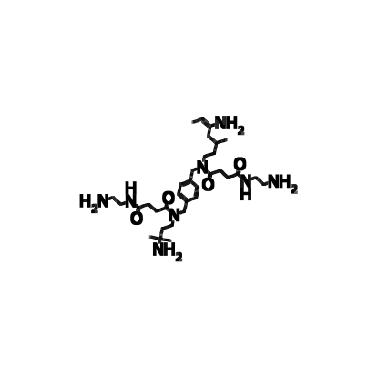 C/C=C(/N)CC(C)CCN(Cc1ccc(CN(CCC(C)(C)N)C(=O)CCC(=O)NCCN)cc1)C(=O)CCC(=O)NCCN